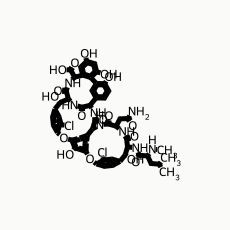 CNC(CC(C)C)C(=O)NC1C(=O)NC(CC(N)=O)C(=O)NC2C(=O)NC3C(=O)NC(C(=O)NC(C(=O)O)c4cc(O)cc(O)c4-c4cc3ccc4O)C(O)c3ccc(c(Cl)c3)Oc3cc2cc(c3O)Oc2ccc(cc2Cl)C1O